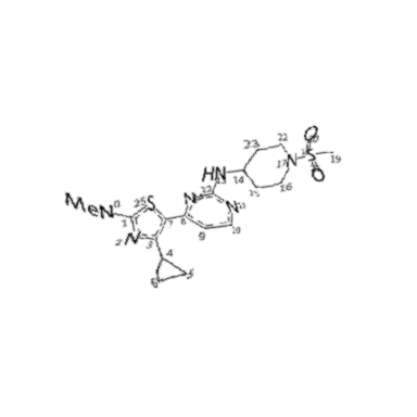 CNc1nc(C2CC2)c(-c2ccnc(NC3CCN(S(C)(=O)=O)CC3)n2)s1